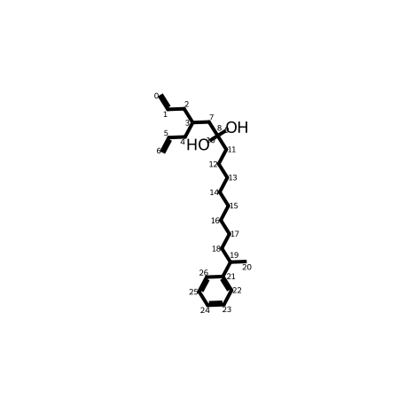 C=CCC(CC=C)CC(O)(O)CCCCCCCCC(C)c1ccccc1